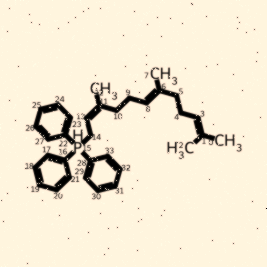 CC(C)=CCC/C(C)=C/CCC(C)=CC[PH](c1ccccc1)(c1ccccc1)c1ccccc1